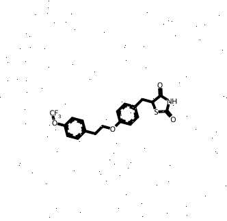 O=C1NC(=O)C(Cc2ccc(OCCc3ccc(OC(F)(F)F)cc3)cc2)S1